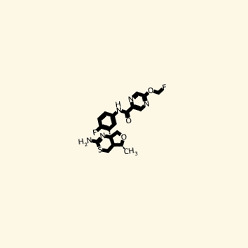 C[C@H]1OC[C@]2(c3cc(NC(=O)c4cnc(OCF)cn4)ccc3F)N=C(N)SCC12